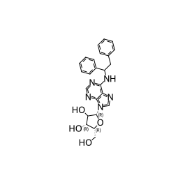 OC[C@H]1O[C@@H](n2cnc3c(NC(Cc4ccccc4)c4ccccc4)ncnc32)C(O)[C@H]1O